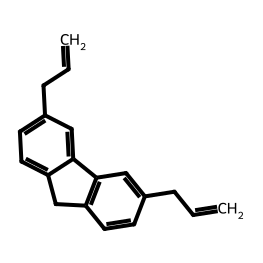 C=CCc1ccc2c(c1)-c1cc(CC=C)ccc1C2